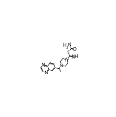 CC(c1ccc2nccnc2c1)N1CCN(C(=N)SC(N)=O)CC1